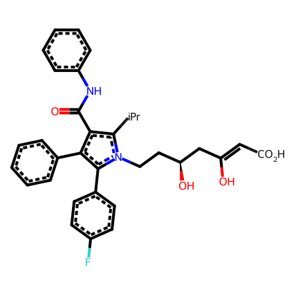 CC(C)c1c(C(=O)Nc2ccccc2)c(-c2ccccc2)c(-c2ccc(F)cc2)n1CC[C@H](O)CC(O)=CC(=O)O